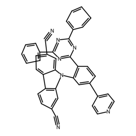 N#Cc1ccc2c3ccc(C#N)cc3n(-c3cc(-c4ccncc4)ccc3-c3nc(-c4ccccc4)nc(-c4ccccc4)n3)c2c1